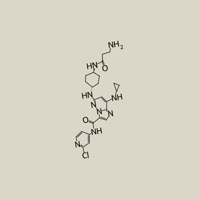 NCCC(=O)N[C@H]1CC[C@H](Nc2cc(NC3CC3)c3ncc(C(=O)Nc4ccnc(Cl)c4)n3n2)CC1